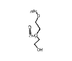 C=O.CCCCOCCOCCO